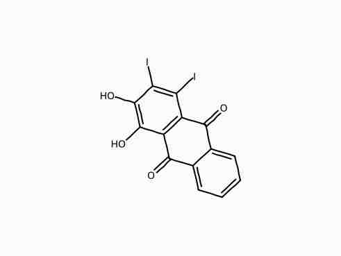 O=C1c2ccccc2C(=O)c2c(I)c(I)c(O)c(O)c21